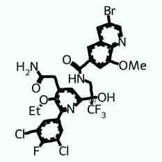 CCOc1c(CC(N)=O)cc([C@@](O)(CNC(=O)c2cc(OC)c3ncc(Br)cc3c2)C(F)(F)F)nc1-c1cc(Cl)c(F)c(Cl)c1